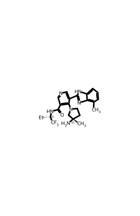 CC[C@H](NC(=O)c1cncc(-c2nc3c(C)cccc3[nH]2)c1N1CC[C@](C)(N)C1)C(F)(F)F